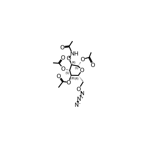 CC(=O)NO[C@H]1[C@H](OC(C)=O)O[C@H](CON=[N+]=[N-])[C@@H](OC(C)=O)[C@@H]1OC(C)=O